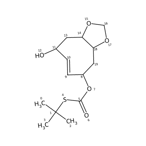 CC(C)(C)SC(=O)OC1/C=C/C(O)CC2OCOC2C1